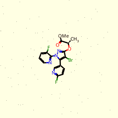 COC(=O)[C@@H](C)Oc1nn(-c2ncccc2F)c(-c2ccc(F)nc2)c1Br